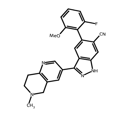 COc1cccc(F)c1-c1cc2c(-c3cnc4c(c3)CN(C)CC4)n[nH]c2cc1C#N